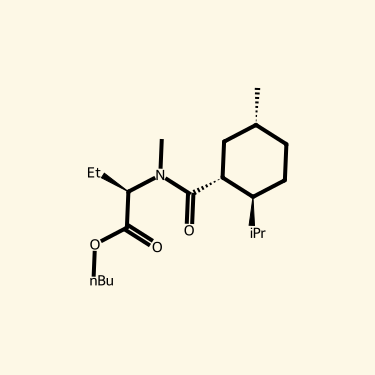 CCCCOC(=O)[C@@H](CC)N(C)C(=O)[C@@H]1C[C@H](C)CC[C@H]1C(C)C